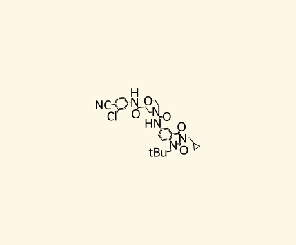 CC(C)(C)Cn1c(=O)n(CC2CC2)c(=O)c2cc(NC(=O)N3CCOC(C(=O)Nc4ccc(C#N)c(Cl)c4)C3)ccc21